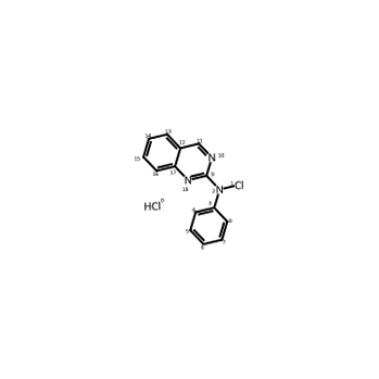 Cl.ClN(c1ccccc1)c1ncc2ccccc2n1